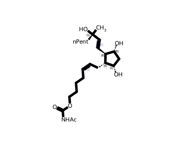 CCCCC[C@](C)(O)/C=C/[C@@H]1[C@@H](C/C=C\CCCCOC(=O)NC(C)=O)[C@@H](O)C[C@H]1O